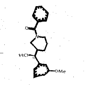 COc1cccc([C@@H](O)C2CCCN(C(=O)c3ccccc3)C2)c1